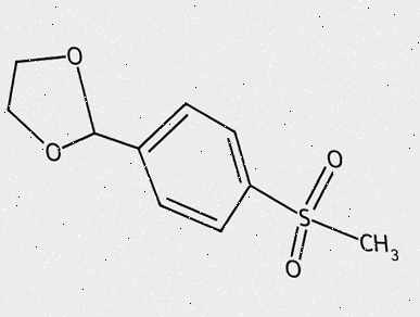 CS(=O)(=O)c1ccc(C2OCCO2)cc1